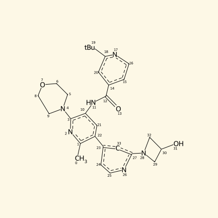 Cc1nc(N2CCOCC2)c(NC(=O)c2ccnc(C(C)(C)C)c2)cc1-c1ccnc(N2CC(O)C2)c1